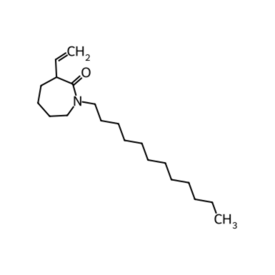 C=CC1CCCCN(CCCCCCCCCCCC)C1=O